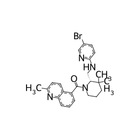 Cc1ccc2c(C(=O)N3CCCC(C)(C)[C@H]3CNc3ccc(Br)cn3)cccc2n1